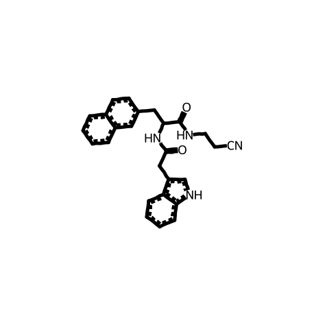 N#CCCNC(=O)C(Cc1ccc2ccccc2c1)NC(=O)Cc1c[nH]c2ccccc12